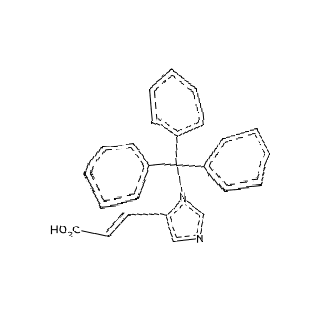 O=C(O)C=Cc1cncn1C(c1ccccc1)(c1ccccc1)c1ccccc1